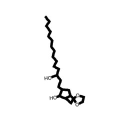 CCCCCCCCCCCCC(O)CCC1CC2C(CC23OCCO3)C1O